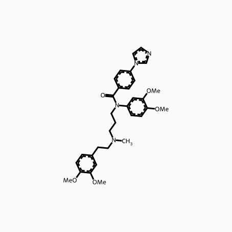 COc1ccc(CCN(C)CCCN(C(=O)c2ccc(-n3ccnc3)cc2)c2ccc(OC)c(OC)c2)cc1OC